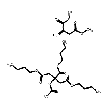 C=C(CC(=O)OC)C(=O)OC.CCCCOC(=O)CC(CC(=O)OCCCC)(OC(C)=O)C(=O)OCCCC